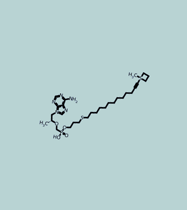 C[C@H](Cn1cnc2c(N)ncnc21)OCP(=O)(O)OCCCSCCCCCCCCCCCC#CS1(C)CCC1